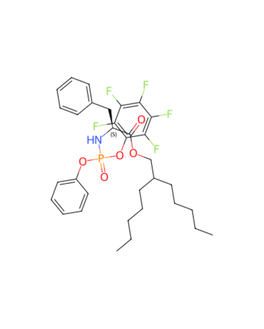 CCCCCC(CCCCC)COC(=O)[C@H](Cc1ccccc1)NP(=O)(Oc1ccccc1)Oc1c(F)c(F)c(F)c(F)c1F